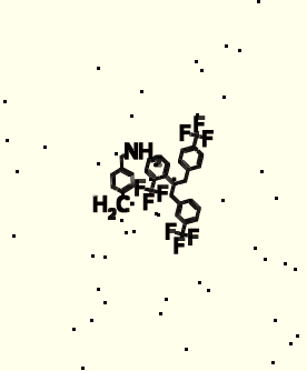 FC(F)(F)c1ccc(C[C](Cc2cccc(C(F)(F)F)c2)c2ccccc2C(F)(F)F)cc1.[CH2]c1ccc(CN)cc1